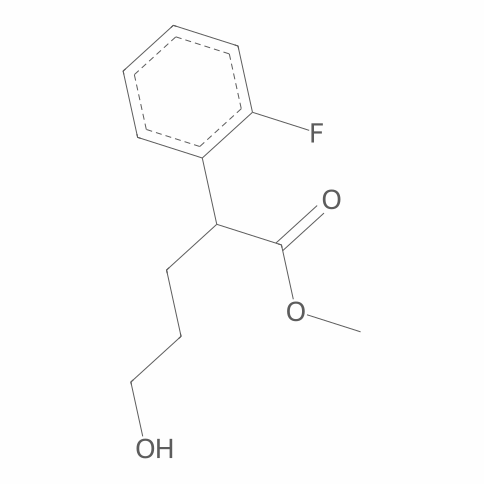 COC(=O)C(CCCO)c1ccccc1F